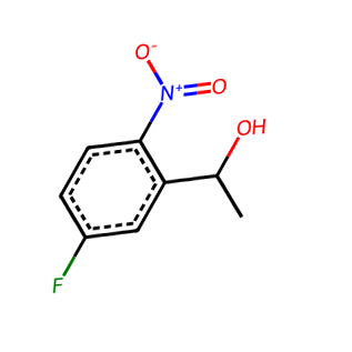 CC(O)c1cc(F)ccc1[N+](=O)[O-]